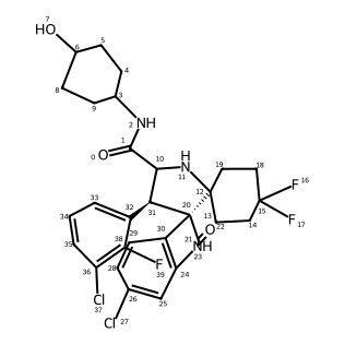 O=C(NC1CCC(O)CC1)C1NC2(CCC(F)(F)CC2)[C@@]2(C(=O)Nc3cc(Cl)ccc32)[C@H]1c1cccc(Cl)c1F